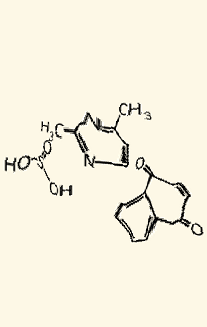 Cc1ccnc(C)n1.O=C1C=CC(=O)c2ccccc21.O=S(O)O